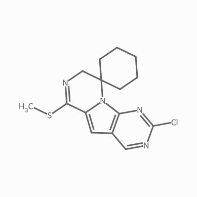 CSC1=NCC2(CCCCC2)n2c1cc1cnc(Cl)nc12